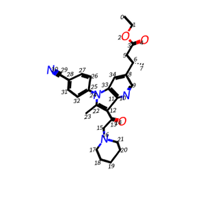 CCOC(=O)C[C@H](C)c1cnc2c(C(=O)CN3CCCCC3)c(C)n(-c3ccc(C#N)cc3)c2c1